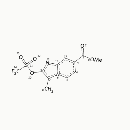 COC(=O)c1ccn2c(C)c(OS(=O)(=O)C(F)(F)F)nc2c1